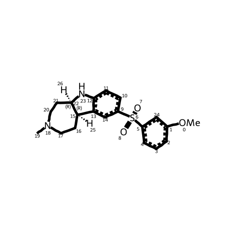 COc1cccc(S(=O)(=O)c2ccc3c(c2)[C@H]2CCN(C)CC[C@H]2N3)c1